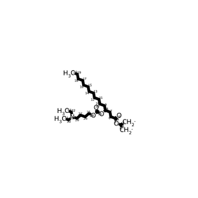 [CH2]C([CH2])OC(=O)CCC(CCCCCCCCCCCC)OC(=O)OCCCCN(CC)CC